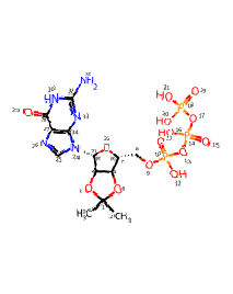 CC1(C)OC2C(O1)[C@@H](COP(=O)(O)OP(=O)(O)OP(=O)(O)O)O[C@H]2n1cnc2c(=O)[nH]c(N)nc21